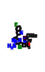 COC(=O)C1(C(=O)NC(C)c2nc3c(-c4cnc5ccc(F)cc5c4)cnn3c(N)c2Br)CC1